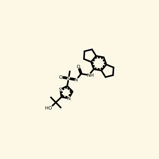 CC(C)(O)c1ncc(S(C)(=O)=NC(=O)Nc2c3c(cc4c2CCC4)CCC3)s1